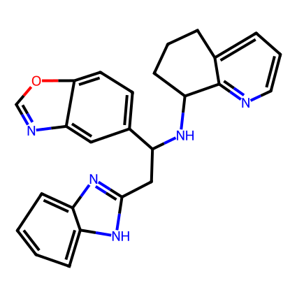 c1cnc2c(c1)CCCC2NC(Cc1nc2ccccc2[nH]1)c1ccc2ocnc2c1